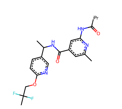 Cc1cc(C(=O)NC(C)c2ccc(OCC(C)(F)F)nc2)cc(NC(=O)C(C)C)n1